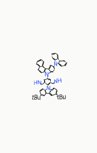 CC(C)(C)c1ccc2c(c1)c1cc(C(C)(C)C)ccc1n2-c1c(C=N)cc(-n2c3ccc(-n4c5ccccc5c5ccccc54)cc3c3c4ccccc4ccc32)cc1C=N